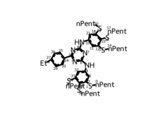 CCCCCSc1cc(Nc2nc(Nc3cc(SCCCCC)c(SCCCCC)c(SCCCCC)c3)nc(-c3ccc(CC)cc3)n2)cc(SCCCCC)c1SCCCCC